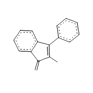 O=C1C(Cl)=C(c2ccccc2)c2ccccc21